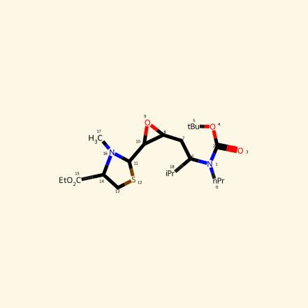 CCCN(C(=O)OC(C)(C)C)C(CC1OC1C1SCC(C(=O)OCC)N1C)C(C)C